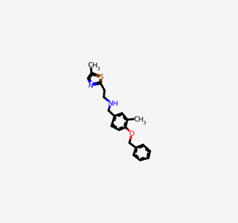 Cc1cnc(CCNCc2ccc(OCc3ccccc3)c(C)c2)s1